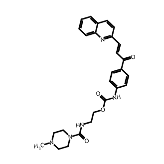 CN1CCN(C(=O)NCCOC(=O)Nc2ccc(C(=O)C=Cc3ccc4ccccc4n3)cc2)CC1